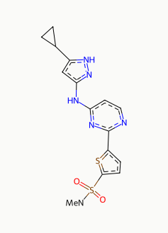 CNS(=O)(=O)c1ccc(-c2nccc(Nc3cc(C4CC4)[nH]n3)n2)s1